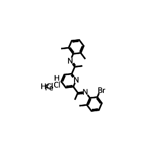 CC(=Nc1c(C)cccc1C)c1cccc(C(C)=Nc2c(C)cccc2Br)n1.Cl.Cl.[Fe]